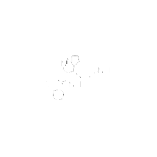 CC1(C)[C@H](Nc2c(/C(N)=N/c3ccccc3C3CC3)cnn3cccc23)CC[C@]1(C)N